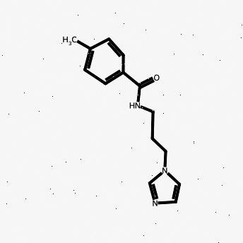 Cc1ccc(C(=O)NCCCn2ccnc2)cc1